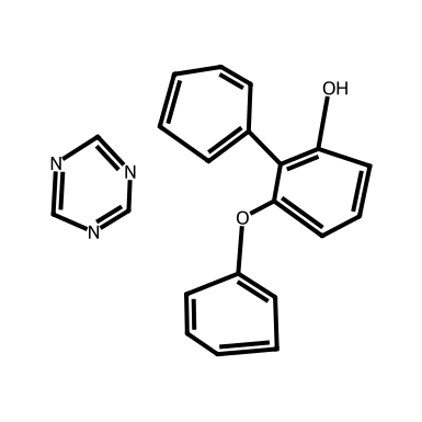 Oc1cccc(Oc2ccccc2)c1-c1ccccc1.c1ncncn1